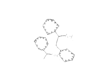 CC(N)c1ccccc1.NC(Cc1ccccc1)c1ccccc1